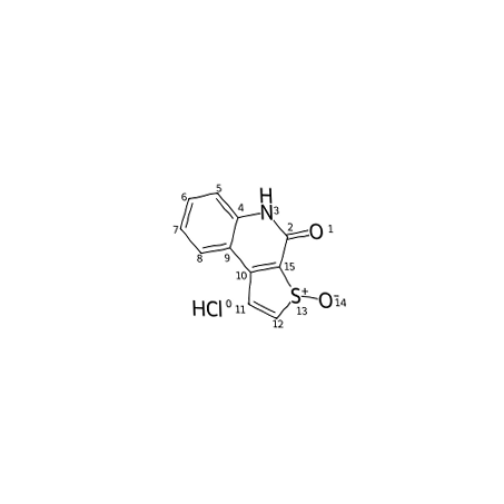 Cl.O=c1[nH]c2ccccc2c2cc[s+]([O-])c12